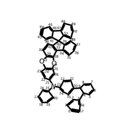 c1ccc(C2C=CC=CC2c2ccc(N(c3ccccc3)c3ccc4c(c3)Oc3c(ccc5c3-c3ccccc3C53c5cc#ccc5-c5ccccc53)O4)cc2)cc#1